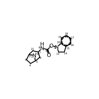 CN1C2CCC1CC(NC(=O)ON1CCc3ccccc31)C2